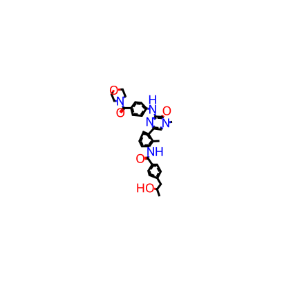 Cc1c(NC(=O)c2ccc(CC(C)O)cc2)cccc1-c1cn(C)c(=O)c(Nc2ccc(C(=O)N3CCOCC3)cc2)n1